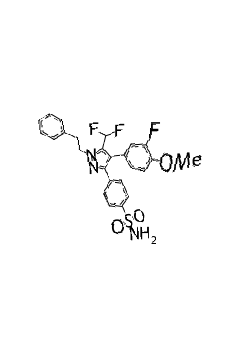 COc1ccc(-c2c(-c3ccc(S(N)(=O)=O)cc3)nn(CCc3ccccc3)c2C(F)F)cc1F